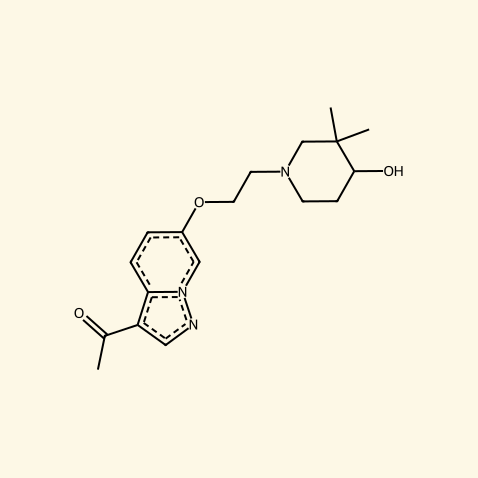 CC(=O)c1cnn2cc(OCCN3CCC(O)C(C)(C)C3)ccc12